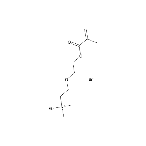 C=C(C)C(=O)OCCOCC[N+](C)(C)CC.[Br-]